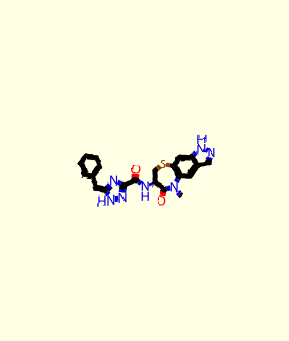 CN1C(=O)[C@@H](NC(=O)c2n[nH]c(Cc3ccccc3)n2)CSc2cc3[nH]ncc3cc21